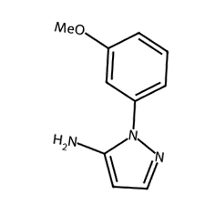 COc1cccc(-n2nccc2N)c1